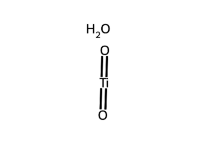 O.[O]=[Ti]=[O]